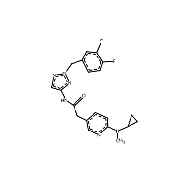 CN(c1ccc(CC(=O)Nc2cnn(Cc3ccc(F)c(F)c3)n2)cn1)C1CC1